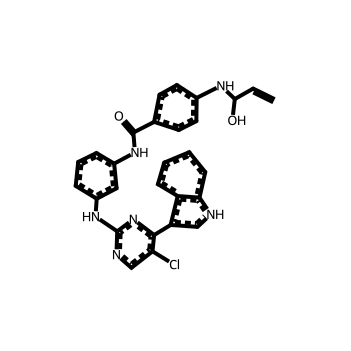 C=CC(O)Nc1ccc(C(=O)Nc2cccc(Nc3ncc(Cl)c(-c4c[nH]c5ccccc45)n3)c2)cc1